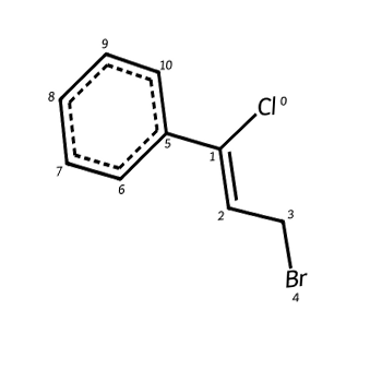 ClC(=CCBr)c1ccccc1